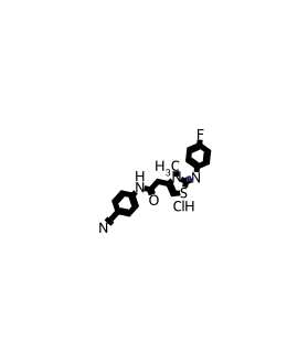 Cl.Cn1c(CC(=O)Nc2ccc(C#N)cc2)cs/c1=N/c1ccc(F)cc1